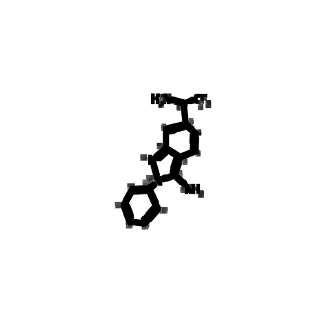 Nc1c2ccc([C@@H](N)C(F)(F)F)cc2nn1-c1ccccc1